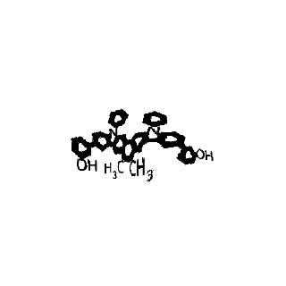 CC1c2cc3c4c(n(-c5ccccc5)c3cc2-c2cc3c(cc2C1C)c1cc(-c2cccc(O)c2)ccc1n3-c1ccccc1)CCC(c1cccc(O)c1)=C4